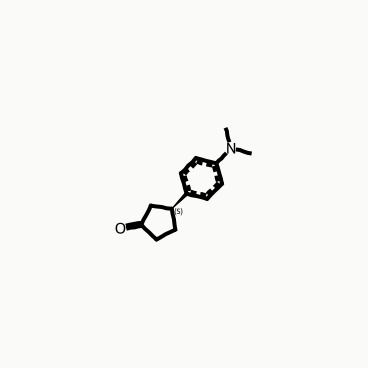 CN(C)c1ccc([C@H]2CCC(=O)C2)cc1